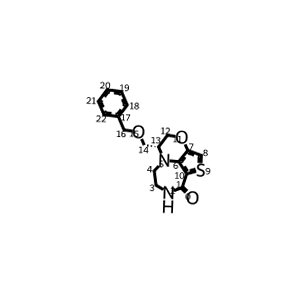 O=C1NCCN2c3c(csc31)OC[C@H]2COCc1ccccc1